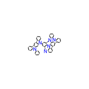 N#Cc1cc(-n2c3ccccc3c3cc4c5ccccc5n(-c5ccccc5)c4cc32)cc(C#N)c1-n1c2ccccc2c2cc3c4ccccc4n(-c4ccccc4)c3cc21